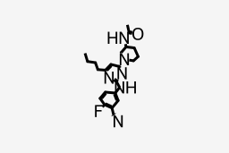 CCCCc1cc(N2CCCC(NC(C)=O)C2)nc(Nc2ccc(F)c(C#N)c2)n1